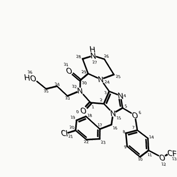 O=C1c2c(nc(Oc3cccc(OC(F)(F)F)c3)n2Cc2ccc(Cl)cc2)N2CCNCC2C(=O)N1CCCO